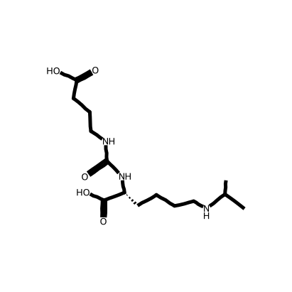 CC(C)NCCCC[C@@H](NC(=O)NCCCC(=O)O)C(=O)O